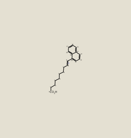 O=C(O)CCCCCCC/C=C/c1cccc2ccccc12